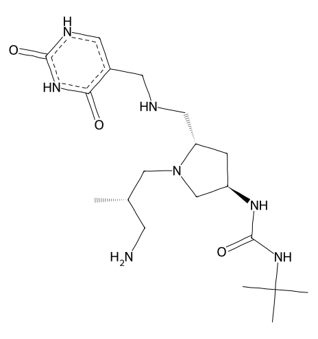 C[C@@H](CN)CN1C[C@H](NC(=O)NC(C)(C)C)C[C@H]1CNCc1c[nH]c(=O)[nH]c1=O